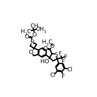 COC(=O)C1SC(c2cc(Cl)c(F)c(Cl)c2)(C(F)(F)F)CC1(O)c1ccc2c(c1)COC21CN(C(=O)OC(C)(C)C)C1